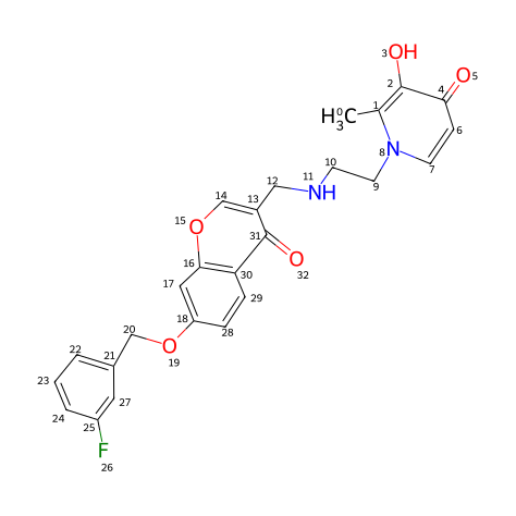 Cc1c(O)c(=O)ccn1CCNCc1coc2cc(OCc3cccc(F)c3)ccc2c1=O